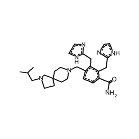 CC(C)CN1CCC2(CCN(Cc3ccc(C(N)=O)c(Cc4ncc[nH]4)c3Cc3ncc[nH]3)CC2)C1